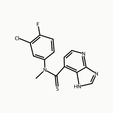 CN(C(=S)c1ccnc2nc[nH]c12)c1ccc(F)c(Cl)c1